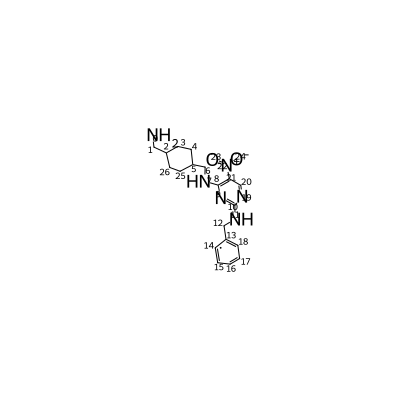 NCC1CCC(CNc2nc(NCc3[c]cccc3)ncc2[N+](=O)[O-])CC1